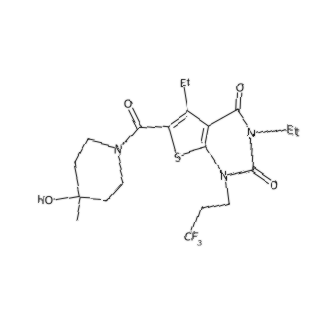 CCc1c(C(=O)N2CCC(C)(O)CC2)sc2c1c(=O)n(CC)c(=O)n2CCC(F)(F)F